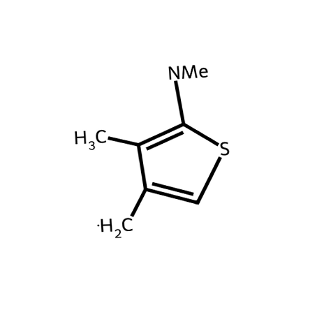 [CH2]c1csc(NC)c1C